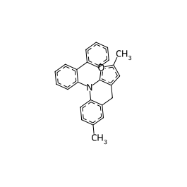 Cc1ccc2c(c1)Cc1cc(C)oc1N2c1ccccc1-c1ccccc1